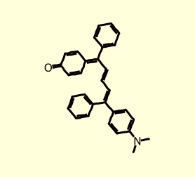 CN(C)c1ccc(C(=CC=CC(=C2C=CC(=O)C=C2)c2ccccc2)c2ccccc2)cc1